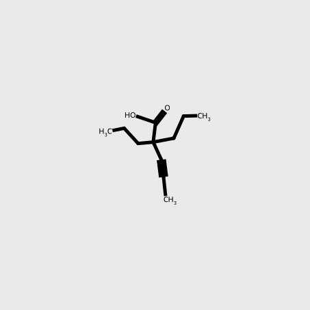 CC#CC(CCC)(CCC)C(=O)O